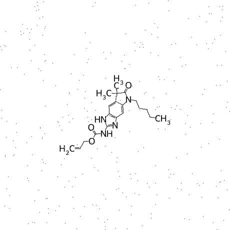 C=CCOC(=O)Nc1nc2cc3c(cc2[nH]1)C(C)(C)C(=O)N3CCCCC